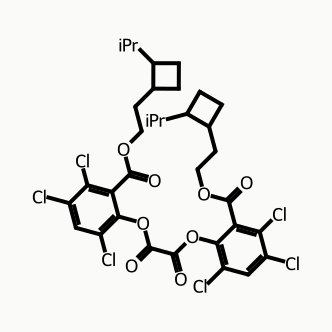 CC(C)C1CCC1CCOC(=O)c1c(Cl)c(Cl)cc(Cl)c1OC(=O)C(=O)Oc1c(Cl)cc(Cl)c(Cl)c1C(=O)OCCC1CCC1C(C)C